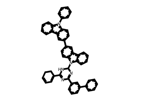 C1=CCCC(C2=NC(c3cccc(-c4ccccc4)c3)=NC(n3c4ccccc4c4cc(-c5ccc6c(c5)c5ccccc5n6-c5ccccc5)ccc43)N2)=C1